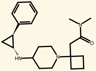 CN(C)C(=O)CC1(N2CCC(N[C@@H]3C[C@H]3c3ccccc3)CC2)CCC1